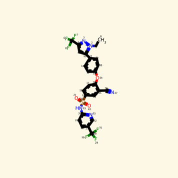 CCn1nc(C(F)(F)F)cc1-c1ccc(Oc2ccc(S(=O)(=O)Nc3ccc(C(F)(F)F)cn3)cc2C#N)cc1